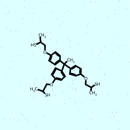 CC(S)COc1ccc(C(C)(c2ccc(OCC(C)S)cc2)c2ccc(OCC(C)S)cc2)cc1